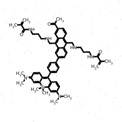 C=C(C)C(=O)NCCCNCc1c2ccc(C(C)=O)cc2c(CNCCCNC(=O)C(=C)C)c2cc(-c3ccc(C4=C5C=CC(=[N+](C)C)C=C5[Si](C)(C)c5cc(N(C)C)ccc54)cc3)ccc12